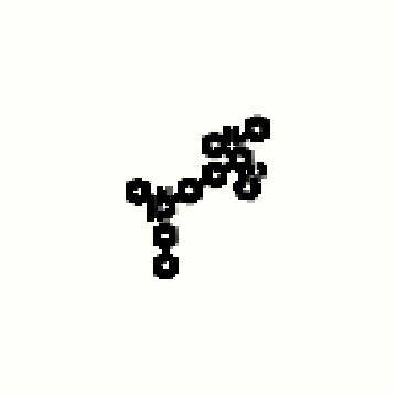 c1ccc(-c2ccc(-c3cc(-c4ccc(-c5ccc(-c6c7c(cc8c(-c9ccccc9)nc9ccccc9c68)oc6ccccc67)cc5)cc4)nc(-c4ccccc4)n3)cc2)cc1